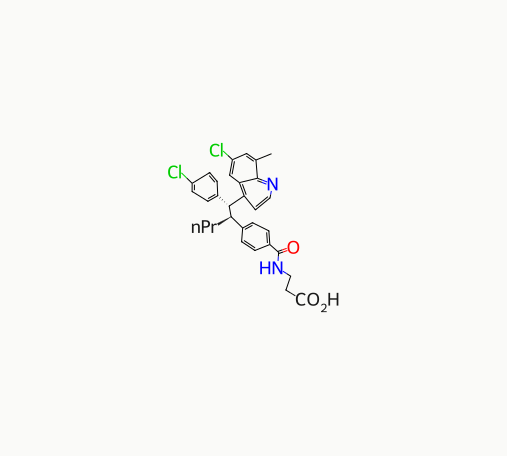 CCC[C@H](c1ccc(C(=O)NCCC(=O)O)cc1)[C@H](c1ccc(Cl)cc1)c1ccnc2c(C)cc(Cl)cc12